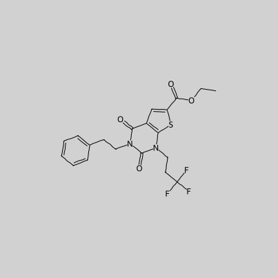 CCOC(=O)c1cc2c(=O)n(CCc3ccccc3)c(=O)n(CCC(F)(F)F)c2s1